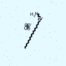 CCCCCCCCCCCCCCCCCCC[N+](C)(C)CCCN.COS(=O)(=O)[O-]